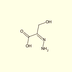 NN=C(CO)C(=O)O